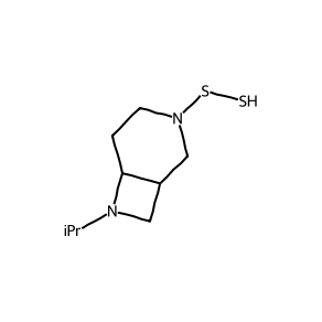 CC(C)N1CC2CN(SS)CCC21